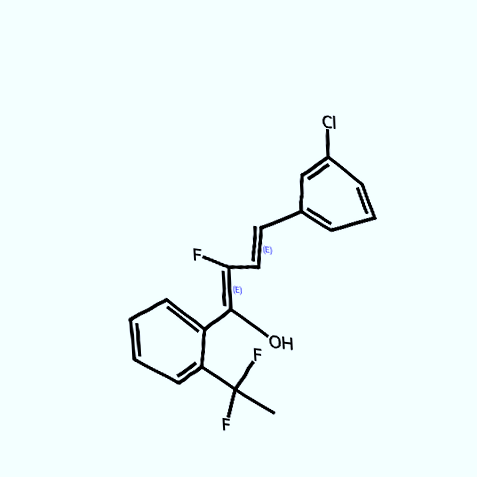 CC(F)(F)c1ccccc1/C(O)=C(F)/C=C/c1cccc(Cl)c1